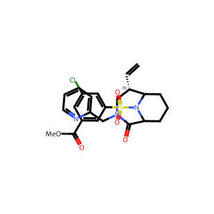 C=C[C@H]1CN(Cc2ccccn2)C(=O)C2CCCC1N2S(=O)(=O)c1cc(Cl)cc(C(=O)OC)c1